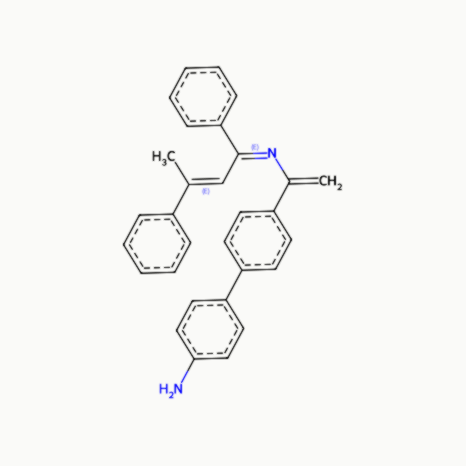 C=C(/N=C(\C=C(/C)c1ccccc1)c1ccccc1)c1ccc(-c2ccc(N)cc2)cc1